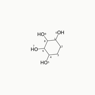 OC1[CH]CC(O)C(O)C1O